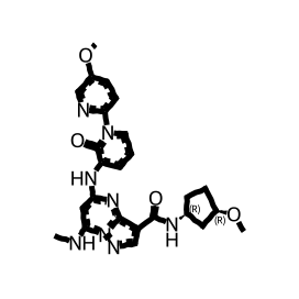 CNc1cc(Nc2cccn(-c3ccc(OC)cn3)c2=O)nc2c(C(=O)N[C@@H]3CC[C@@H](OC)C3)cnn12